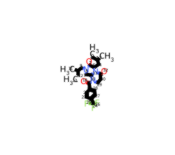 CCC(C)CC1C(=O)N(CC(C)CC)CC2N(C(=O)c3ccc(C(F)(F)F)cc3)CCC(=O)N12